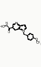 O=C(NO)c1cnc2ccn(Cc3ccc(OC(F)(F)F)cc3)c2c1